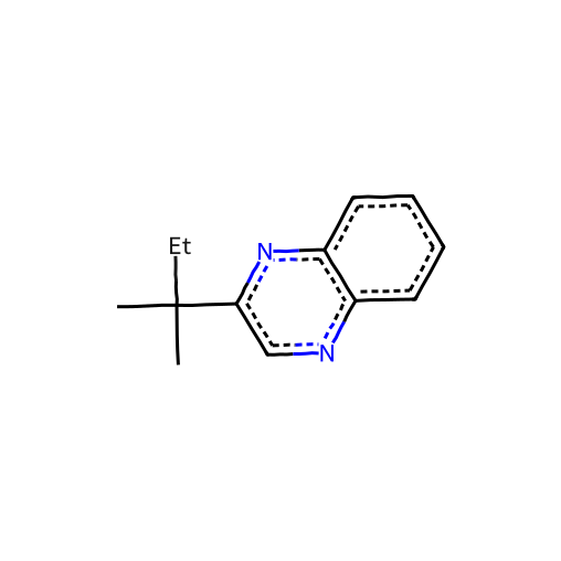 CCC(C)(C)c1cnc2ccccc2n1